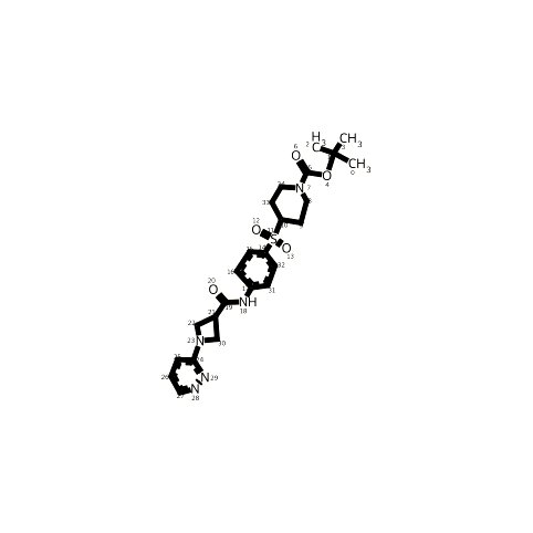 CC(C)(C)OC(=O)N1CCC(S(=O)(=O)c2ccc(NC(=O)C3CN(c4cccnn4)C3)cc2)CC1